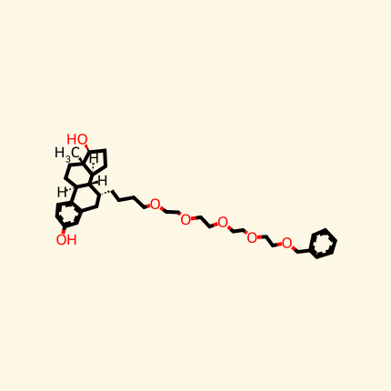 C[C@]12CC[C@@H]3c4ccc(O)cc4C[C@@H](CCCCOCCOCCOCCOCCOCc4ccccc4)[C@H]3[C@@H]1CC[C@@H]2O